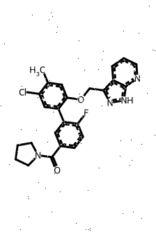 Cc1cc(OCc2n[nH]c3ncccc23)c(-c2cc(C(=O)N3CCCC3)ccc2F)cc1Cl